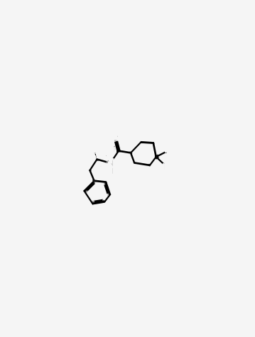 O=C(N[C@@H](Cc1ccccc1)C(=O)O)C1CCC(F)(F)CC1